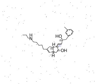 CCCNCCCCCC1=C[C@H]2C[C@@H](O)[C@H](/C=C/[C@@H](O)Cc3cccc(C)c3)[C@H]2C1